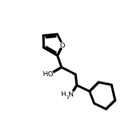 NC(CC(O)c1ccco1)C1CCCCC1